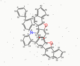 c1ccc(-c2ccc(N(c3ccccc3-c3ccc4oc5c6ccccc6ccc5c4c3)c3cccc4oc5c6ccccc6ccc5c34)cc2)cc1